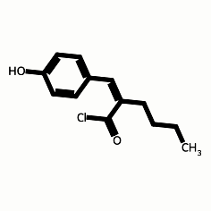 CCCCC(=Cc1ccc(O)cc1)C(=O)Cl